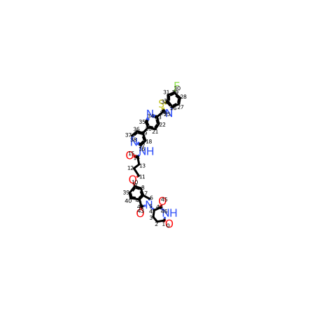 O=C1CCC(N2Cc3cc(OCCCC(=O)Nc4cc(-c5ccc(-c6nc7ccc(F)cc7s6)nc5)ccn4)ccc3C2=O)C(=O)N1